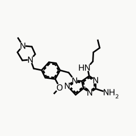 CCCCNc1nc(N)nc2cnn(Cc3ccc(CN4CCN(C)CC4)cc3OC)c12